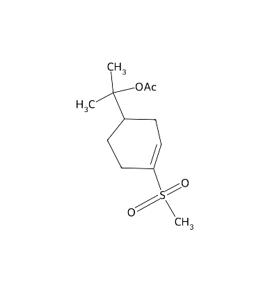 CC(=O)OC(C)(C)C1CC=C(S(C)(=O)=O)CC1